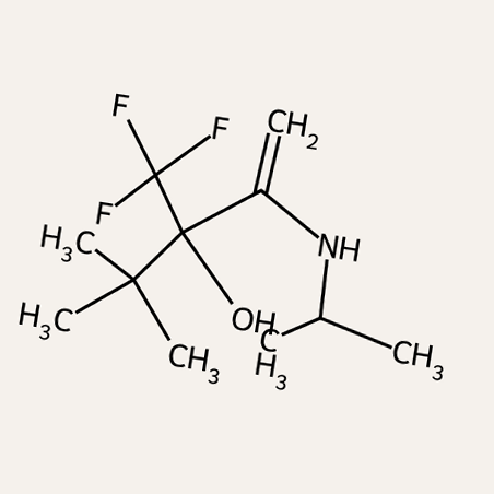 C=C(NC(C)C)C(O)(C(C)(C)C)C(F)(F)F